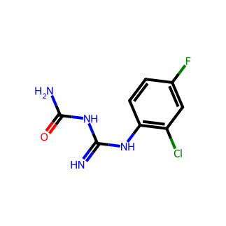 N=C(NC(N)=O)Nc1ccc(F)cc1Cl